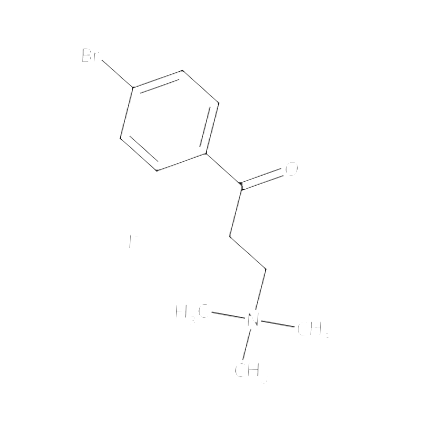 C[N+](C)(C)CCC(=O)c1ccc(Br)cc1.[I-]